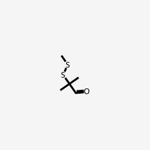 CSSC(C)(C)C=O